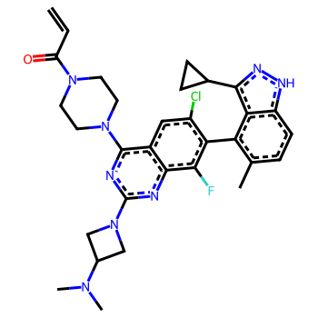 C=CC(=O)N1CCN(c2nc(N3CC(N(C)C)C3)nc3c(F)c(-c4c(C)ccc5[nH]nc(C6CC6)c45)c(Cl)cc23)CC1